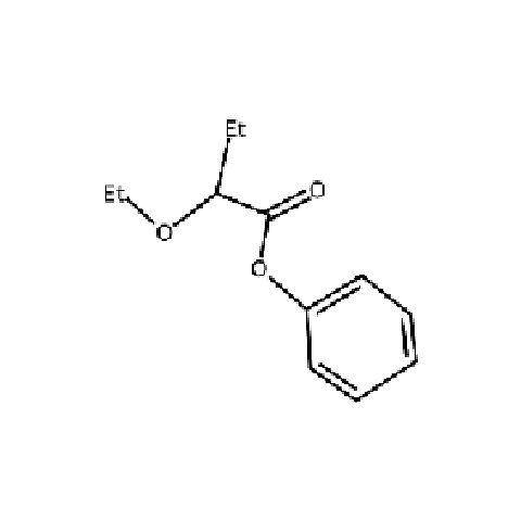 CCOC(CC)C(=O)Oc1ccccc1